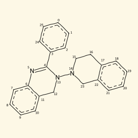 c1ccc(C2=Nc3ccccc3CN2N2CCc3ccccc3C2)cc1